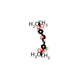 C=C(C)C(=O)Oc1ccc(-c2ccc(/C=C/c3ccc(OC(=O)C(=C)C)c(F)c3)o2)cc1